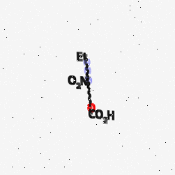 CC/C=C/C/C=C/C/C=C(/CCCCCCCCOCC(=O)O)[N+](=O)[O-]